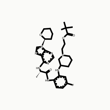 C[C@H](Nc1ncnc2c1ncn2[C@@H]1CCCCO1)C(=O)Nc1ccc(F)cc1NC1CCCN(CCOC(=O)C(C)(C)C)C1